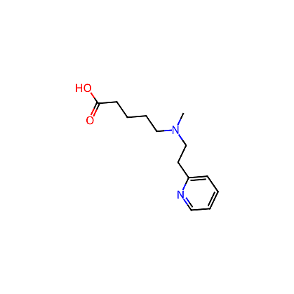 CN(CCCCC(=O)O)CCc1ccccn1